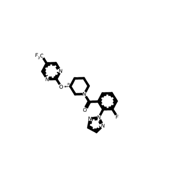 O=C(c1cccc(F)c1-n1nccn1)N1CCC[C@@H](Oc2ncc(C(F)(F)F)cn2)C1